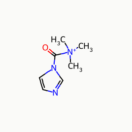 C[N+](C)(C)C(=O)n1ccnc1